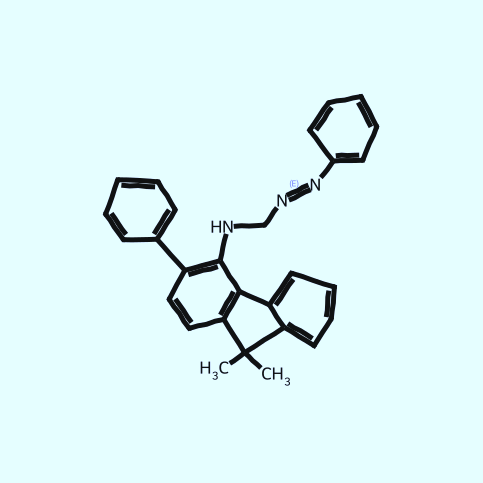 CC1(C)c2ccccc2-c2c1ccc(-c1ccccc1)c2NC/N=N/c1ccccc1